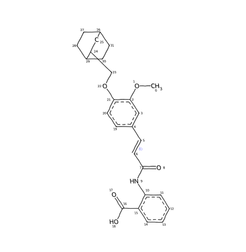 COc1cc(/C=C/C(=O)Nc2ccccc2C(=O)O)ccc1OCC1CC2CCC1CC2